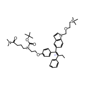 CC/C(=C(/c1ccc(OCCN(CCCC(=O)N(C)C)C(=O)OC(C)(C)C)cc1)c1ccc2c(ccn2COCC[Si](C)(C)C)c1)c1ccccc1